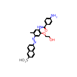 Cc1cc(NC(=O)c2ccc(N)cc2)c(OCCO)cc1/N=N/c1ccc2cc(S(=O)(=O)O)ccc2c1